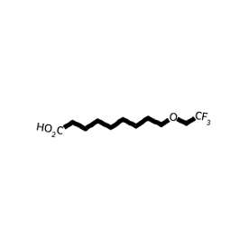 O=C(O)CCCCCCCCOCC(F)(F)F